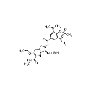 Br.CCOc1cc2c(nc1C(=O)NC)C(=N)N(CC(=O)c1cc(OC)c(OS(C)(=O)=O)c(N(C)C)c1)C2